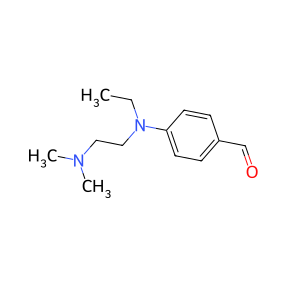 CCN(CCN(C)C)c1ccc(C=O)cc1